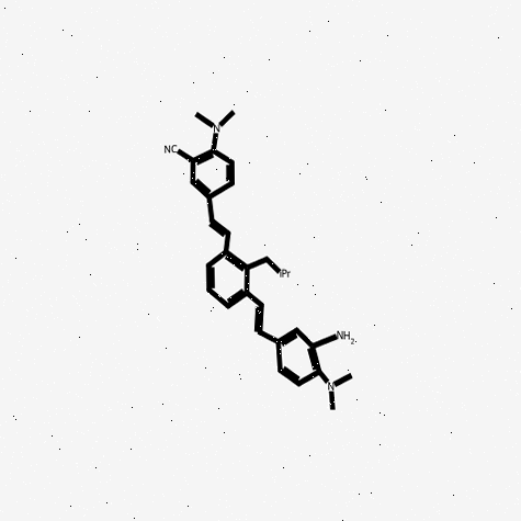 CC(C)Cc1c(/C=C/c2ccc(N(C)C)c(N)c2)cccc1/C=C/c1ccc(N(C)C)c(C#N)c1